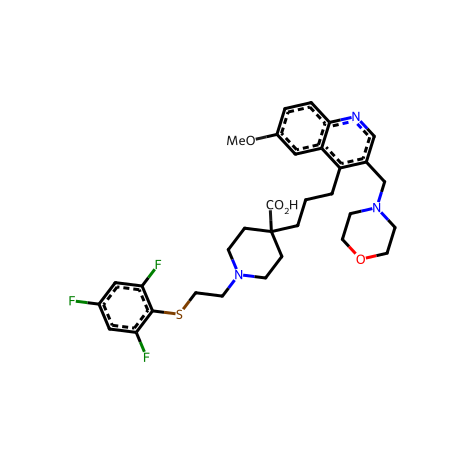 COc1ccc2ncc(CN3CCOCC3)c(CCCC3(C(=O)O)CCN(CCSc4c(F)cc(F)cc4F)CC3)c2c1